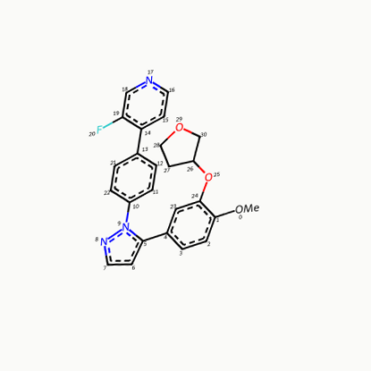 COc1ccc(-c2ccnn2-c2ccc(-c3ccncc3F)cc2)cc1OC1CCOC1